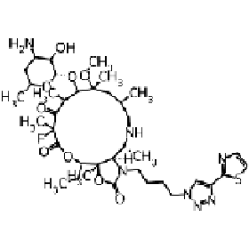 CC[C@H]1OC(=O)C(C)(F)C(=O)[C@@H](C)[C@@H](O[C@@H]2OC(C)CC(N)C2O)[C@](C)(OC)C[C@@H](C)CN[C@H](C)[C@H]2N(CCCCn3cc(-c4nccs4)nn3)C(=O)O[C@]12C